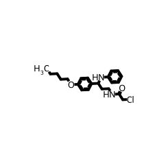 CCCCCOc1ccc(C(CCNC(=O)CCl)Nc2ccccc2)cc1